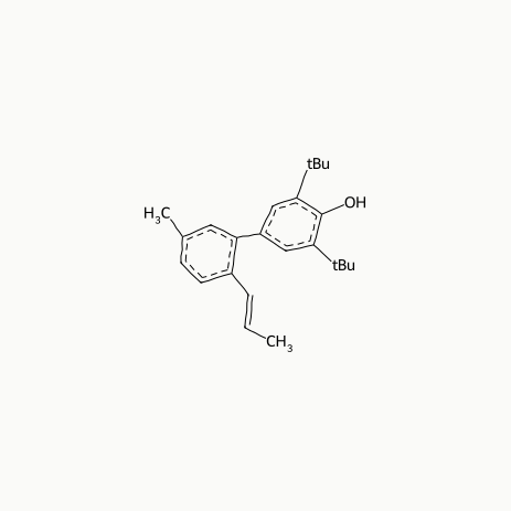 C/C=C/c1ccc(C)cc1-c1cc(C(C)(C)C)c(O)c(C(C)(C)C)c1